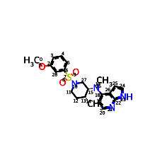 COc1cccc(S(=O)(=O)N2CC[C@@H](C)[C@@H](N(C)c3ccnc4[nH]ccc34)C2)c1